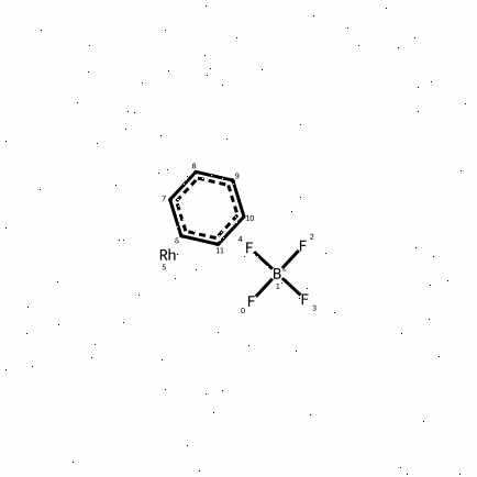 F[B-](F)(F)F.[Rh].c1ccccc1